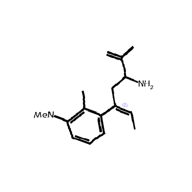 C=C(C)C(N)C/C(=C/C)c1cccc(NC)c1C